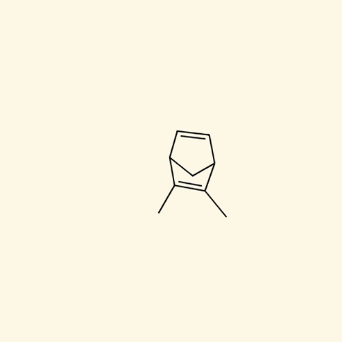 CC1=C(C)C2C=CC1C2